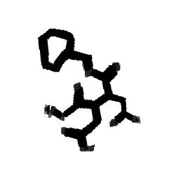 COC(=O)C(CC(=O)O)C(CC(=O)O)C(=O)OCc1ccccc1